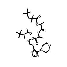 CC(=O)N(C[C@@H](COc1nsnc1N1CCOCC1)OC(=O)C(C)OC(=O)C(C)OC(=O)C(C)(C)CC(C)(C)C)C(C)(C)C